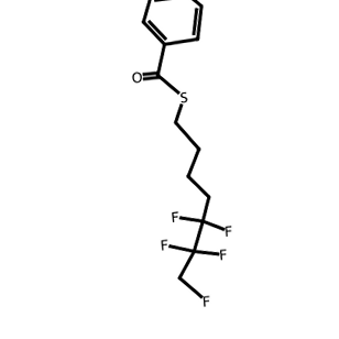 O=C(SCCCCC(F)(F)C(F)(F)CF)c1ccccc1